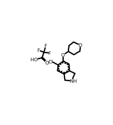 Clc1cc2c(cc1OC1CCOCC1)CNC2.O=C(O)C(F)(F)F